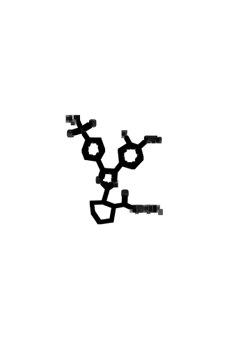 COc1ccc(-c2nc(C3CCCCC3C(=O)N(C)O)oc2-c2ccc(S(N)(=O)=O)cc2)cc1F